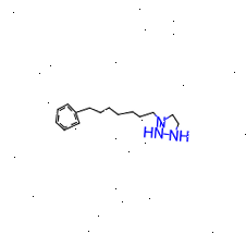 c1ccc(CCCCCCCN2CCNN2)cc1